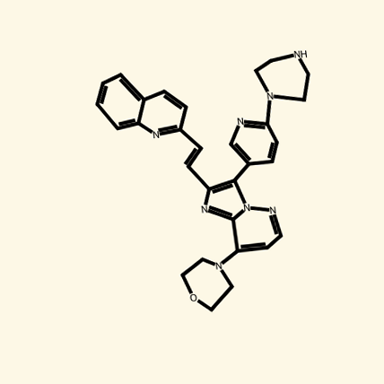 C(=Cc1nc2c(N3CCOCC3)ccnn2c1-c1ccc(N2CCNCC2)nc1)c1ccc2ccccc2n1